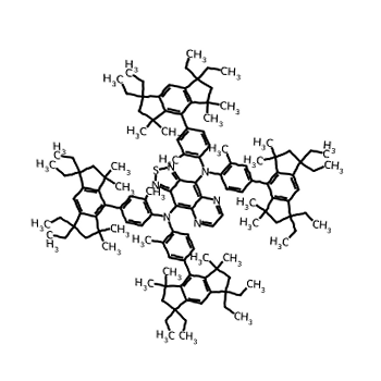 CCC1(CC)CC(C)(C)c2c1cc1c(c2-c2ccc(N(c3ccc(-c4c5c(cc6c4C(C)(C)CC6(CC)CC)C(CC)(CC)CC5(C)C)cc3C)c3c4nccnc4c(N(c4ccc(-c5c6c(cc7c5C(C)(C)CC7(CC)CC)C(CC)(CC)CC6(C)C)cc4C)c4ccc(-c5c6c(cc7c5C(C)(C)CC7(CC)CC)C(CC)(CC)CC6(C)C)cc4C)c4nsnc34)c(C)c2)C(C)(C)CC1(CC)CC